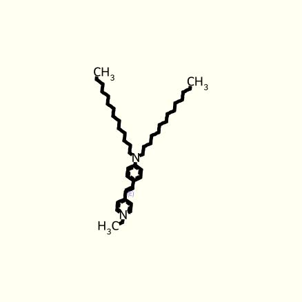 CCCCCCCCCCCCCCN(CCCCCCCCCCCCCC)c1ccc(/C=C/c2cc[n+](CC)cc2)cc1